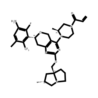 C=CC(=O)N1CCN(c2nc(OC[C@@]34CCCN3C[C@H](C)C4)nc3c2CO[C@@H](c2c(F)c(N)cc(C)c2C(F)(F)F)C3)[C@@H](C)C1